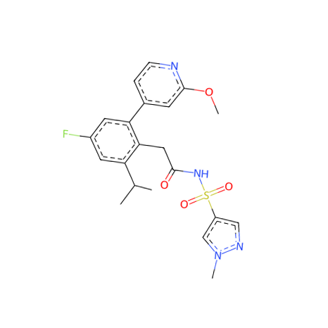 COc1cc(-c2cc(F)cc(C(C)C)c2CC(=O)NS(=O)(=O)c2cnn(C)c2)ccn1